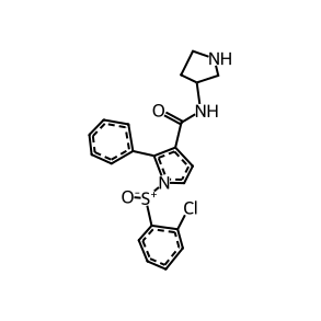 O=C(NC1CCNC1)c1ccn([S+]([O-])c2ccccc2Cl)c1-c1ccccc1